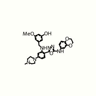 COc1cc(O)cc(CNc2cc(N3CCN(C)CC3)ccc2-c2nnc(Nc3ccc4c(c3)OCCO4)o2)c1